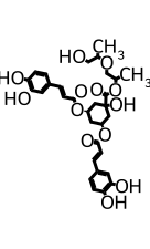 CC(CO)OCC(C)OC(=O)C1(O)C[C@@H](OC(=O)/C=C/c2ccc(O)c(O)c2)C[C@H](OC(=O)/C=C/c2ccc(O)c(O)c2)C1